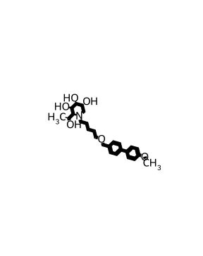 COc1ccc(-c2ccc(COCCCCCN3C[C@H](O)[C@@H](O)[C@H](O)[C@@H]3[C@@H](C)O)cc2)cc1